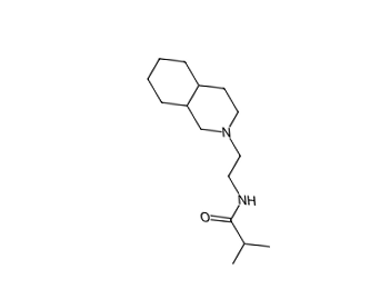 CC(C)C(=O)NCCN1CCC2CCCCC2C1